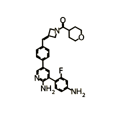 Nc1ccc(-c2cc(-c3ccc(C=C4CN(C(=O)C5CCOCC5)C4)cc3)cnc2N)c(F)c1